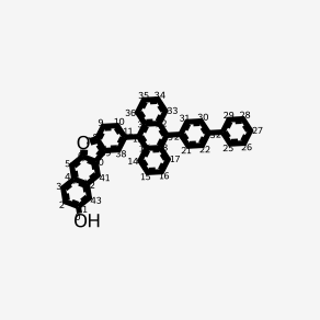 Oc1ccc2cc3oc4ccc(-c5c6ccccc6c(-c6ccc(-c7ccccc7)cc6)c6ccccc56)cc4c3cc2c1